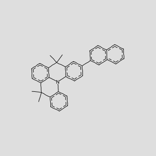 CC1(C)c2ccccc2N2c3ccc(-c4ccc5ccccc5c4)cc3C(C)(C)c3cccc1c32